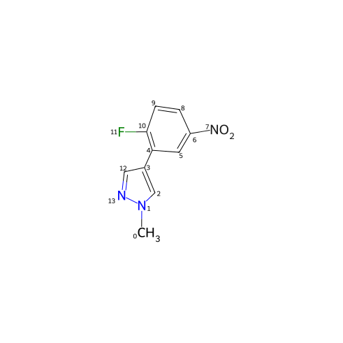 Cn1cc(-c2cc([N+](=O)[O-])ccc2F)cn1